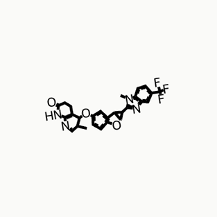 CC1C=NC2=C(CCC(=O)N2)C1Oc1ccc2c(c1)C1C(O2)C1c1nc2cc(C(F)(F)F)ccc2n1C